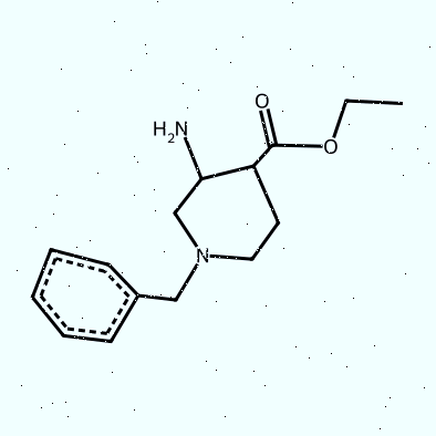 CCOC(=O)C1CCN(Cc2ccccc2)CC1N